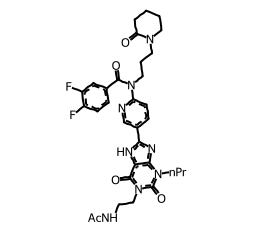 CCCn1c(=O)n(CCNC(C)=O)c(=O)c2[nH]c(-c3ccc(N(CCCN4CCCCC4=O)C(=O)c4ccc(F)c(F)c4)nc3)nc21